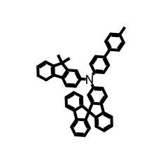 Cc1ccc(-c2ccc(N(c3ccc4c(c3)C(C)(C)C3=C4CCC=C3)c3ccc4c(c3)C3(c5ccccc5-c5ccccc53)c3ccccc3-4)cc2)cc1